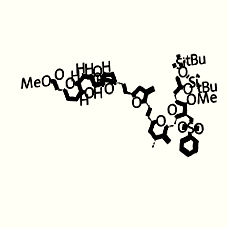 C=C1C[C@H](CC[C@@]23C[C@H]4O[C@H]5[C@@H](O2)[C@H]2O[C@@H](CC(=O)OC)CC[C@@H]2O[C@H]5[C@H]4O3)O[C@H]1CC[C@H]1C[C@@H](C)C(=C)[C@@H](C[C@@H]2O[C@H](CC(CO[Si](C)(C)C(C)(C)C)O[Si](C)(C)C(C)(C)C)[C@H](OC)[C@H]2CS(=O)(=O)c2ccccc2)O1